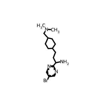 CN(C)CC1CCC(CCC(N)c2ncc(Br)cn2)CC1